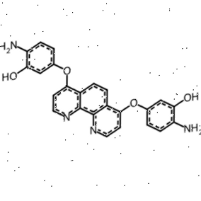 Nc1ccc(Oc2ccnc3c2ccc2c(Oc4ccc(N)c(O)c4)ccnc23)cc1O